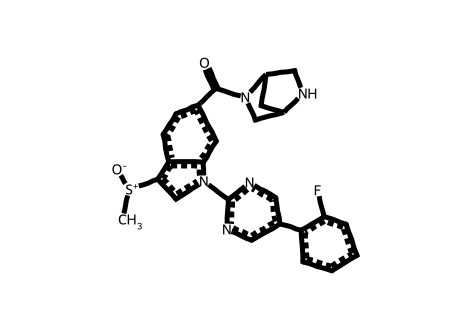 C[S+]([O-])c1cn(-c2ncc(-c3ccccc3F)cn2)c2cc(C(=O)N3CC4CC3CN4)ccc12